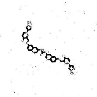 Cn1cc(-n2ccc(=O)c(COc3ccc4ncc(NC(=O)Nc5cnc6ccc(OCc7nn(-c8cnn(C)c8)ccc7=O)cc6c5)cc4c3)n2)cn1